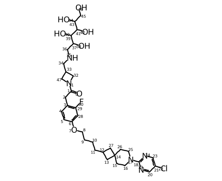 O=C(Cc1ccc(OCCCCC2CC3(CCN(c4ncc(Cl)cn4)CC3)C2)cc1F)N1CC(CNCC(O)C(O)C(O)C(O)CO)C1